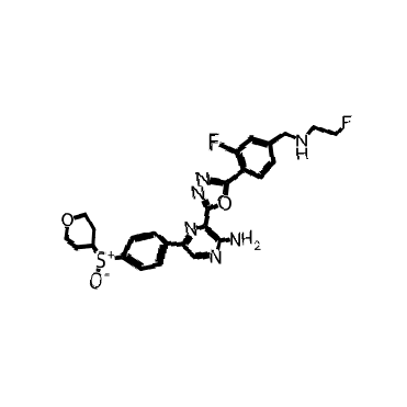 Nc1ncc(-c2ccc([S+]([O-])C3CCOCC3)cc2)nc1-c1nnc(-c2ccc(CNCCF)cc2F)o1